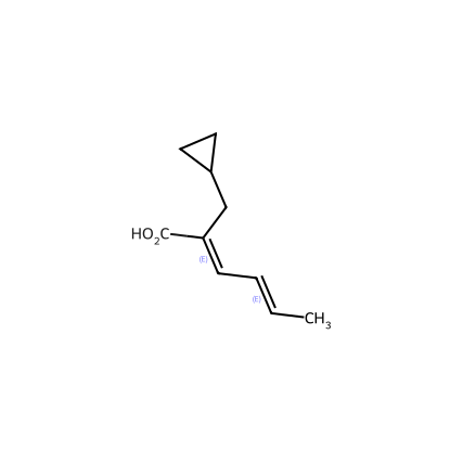 C/C=C/C=C(\CC1CC1)C(=O)O